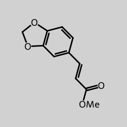 COC(=O)C=Cc1ccc2c(c1)OCO2